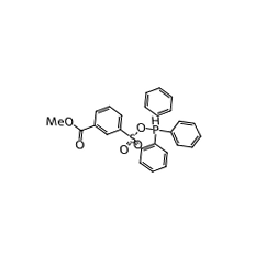 COC(=O)c1cccc(S(=O)(=O)O[PH](c2ccccc2)(c2ccccc2)c2ccccc2)c1